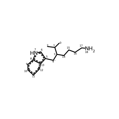 CC(C)C([CH]c1c[nH]c2ccccc12)CCCCN